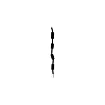 CC#CC#CC#CC#CI